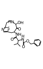 CC(C)C(NC(=O)OCc1ccccc1)C(=O)NC1Cc2cnc(s2)CCNC(O)C1=O